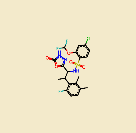 Cc1ccc(F)c(C(C)C(NS(=O)(=O)c2ccc(Cl)cc2OC(F)F)c2n[nH]c(=O)o2)c1C